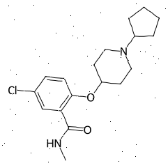 CNC(=O)c1cc(Cl)ccc1OC1CCN(C2CCCC2)CC1